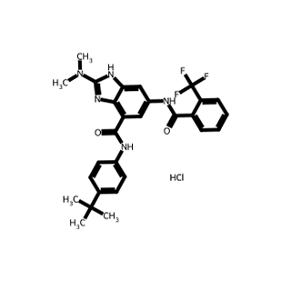 CN(C)c1nc2c(C(=O)Nc3ccc(C(C)(C)C)cc3)cc(NC(=O)c3ccccc3C(F)(F)F)cc2[nH]1.Cl